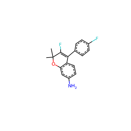 CC1(C)Oc2cc(N)ccc2C(c2ccc(F)cc2)=C1F